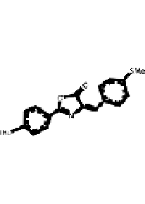 CSc1ccc(C=C2N=C(c3ccc(C(C)(C)C)cc3)OC2=O)cc1